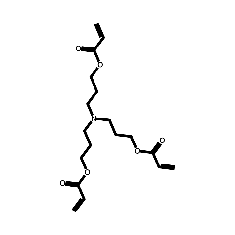 C=CC(=O)OCCCN(CCCOC(=O)C=C)CCCOC(=O)C=C